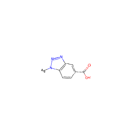 O=C(O)c1ccc2c(c1)nn[n]2[Ag]